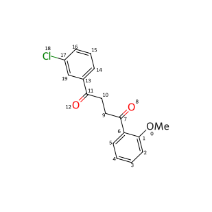 COc1ccccc1C(=O)CCC(=O)c1cccc(Cl)c1